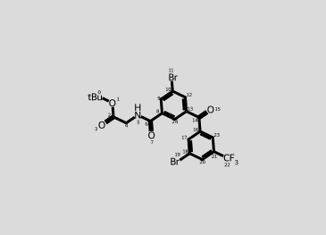 CC(C)(C)OC(=O)CNC(=O)c1cc(Br)cc(C(=O)c2cc(Br)cc(C(F)(F)F)c2)c1